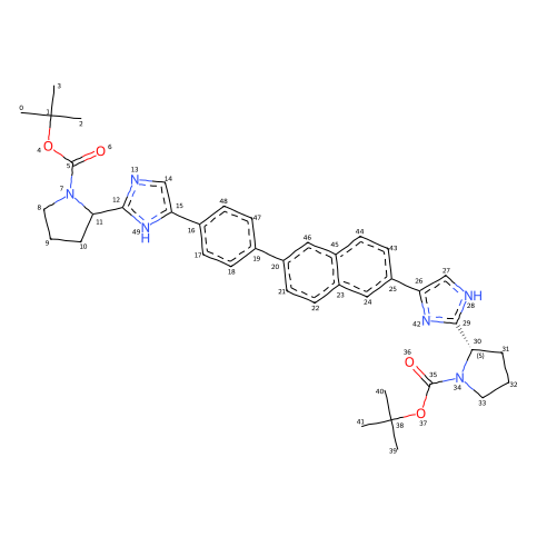 CC(C)(C)OC(=O)N1CCCC1c1ncc(-c2ccc(-c3ccc4cc(-c5c[nH]c([C@@H]6CCCN6C(=O)OC(C)(C)C)n5)ccc4c3)cc2)[nH]1